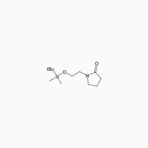 CC(C)(C)[Si](C)(C)OCCN1CCCC1=O